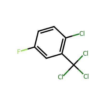 Fc1ccc(Cl)c(C(Cl)(Cl)Cl)c1